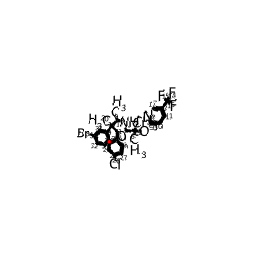 CC(NC(=O)C(C)(C)Oc1ccc(C(F)(F)F)cn1)C(C)(Cc1ccc(Cl)cc1)c1cccc(Br)c1